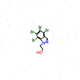 OCCn1ncc2c(Br)c(Br)c(Br)c(Br)c21